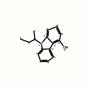 CCC(C)n1c2ccccc2c2c(O)cccc21